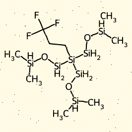 C[SiH](C)O[SiH2][Si](CCC(F)(F)F)([SiH2]O[SiH](C)C)[SiH2]O[SiH](C)C